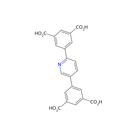 O=C(O)c1cc(C(=O)O)cc(-c2ccc(-c3cc(C(=O)O)cc(C(=O)O)c3)nc2)c1